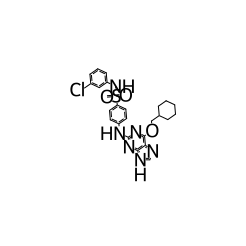 O=S(=O)(Nc1cccc(Cl)c1)c1ccc(Nc2nc(OCC3CCCCC3)c3nc[nH]c3n2)cc1